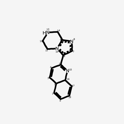 C1=CC2C=CC(c3cnc4n3CCNC4)=NC2C=C1